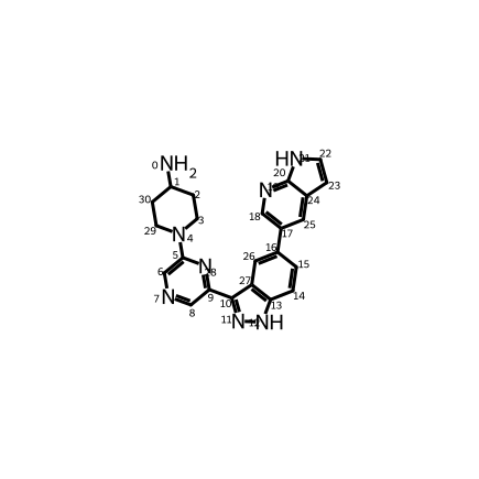 NC1CCN(c2cncc(-c3n[nH]c4ccc(-c5cnc6[nH]ccc6c5)cc34)n2)CC1